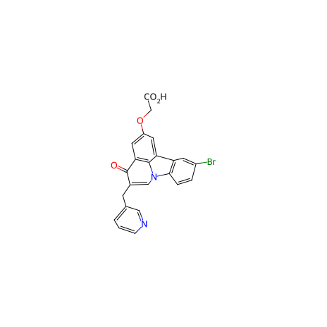 O=C(O)COc1cc2c(=O)c(Cc3cccnc3)cn3c4ccc(Br)cc4c(c1)c23